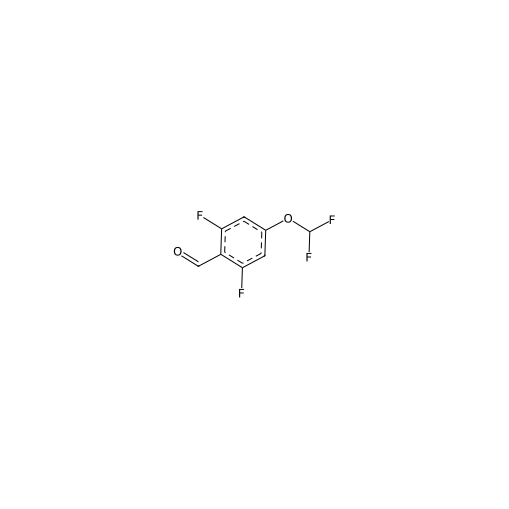 O=Cc1c(F)cc(OC(F)F)cc1F